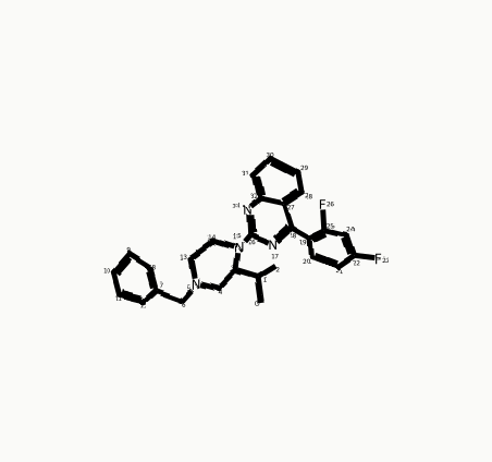 CC(C)C1CN(Cc2ccccc2)CCN1c1nc(-c2ccc(F)cc2F)c2ccccc2n1